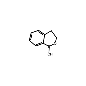 OB1OCCc2ccccc21